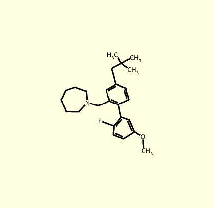 COc1ccc(F)c(-c2ccc(CC(C)(C)C)cc2CN2CCCCCC2)c1